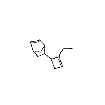 CCC1=CCC1C1CC2C=CC1C2